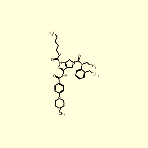 CCCCCOC(=O)n1nc(NC(=O)c2ccc(N3CCN(C)CC3)cc2)c2c1CN(C(=O)N(CC)c1ccccc1CC)C2